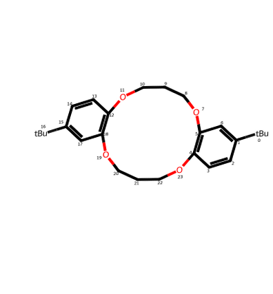 CC(C)(C)c1ccc2c(c1)OCCCOc1ccc(C(C)(C)C)cc1OCCCO2